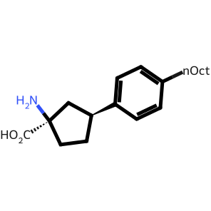 CCCCCCCCc1ccc([C@H]2CC[C@](N)(C(=O)O)C2)cc1